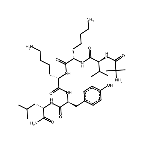 CC(C)C[C@H](NC(=O)[C@H](Cc1ccc(O)cc1)NC(=O)[C@H](CCCCN)NC(=O)[C@H](CCCCN)NC(=O)[C@@H](NC(=O)C(C)(C)N)C(C)C)C(N)=O